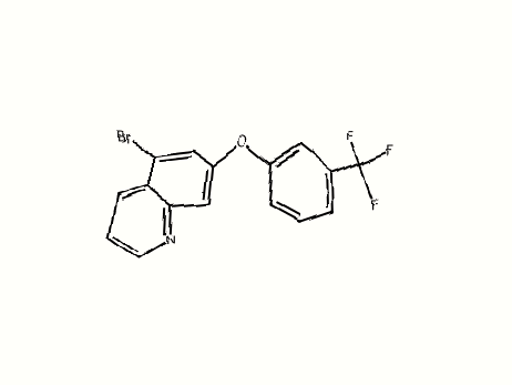 FC(F)(F)c1cccc(Oc2cc(Br)c3cccnc3c2)c1